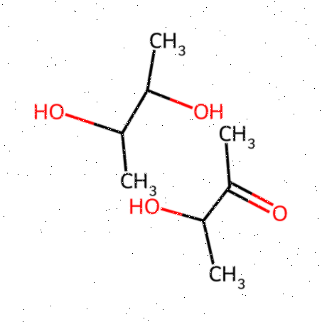 CC(=O)C(C)O.CC(O)C(C)O